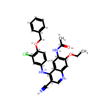 CCOc1cc2ncc(C#N)c(Nc3ccc(OCc4ccccc4)c(Cl)c3)c2cc1NC(C)=O